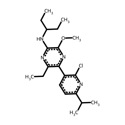 CCc1nc(NC(CC)CC)c(OC)nc1-c1ccc(C(C)C)nc1Cl